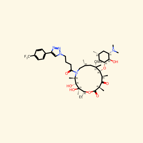 CC[C@H]1OC(=O)[C@H](C)C(=O)[C@H](C)[C@@H](O[C@@H]2C[C@H](C)C[C@H](N(C)C)[C@H]2O)[C@@](C)(OC)C[C@@H](C)CN(C(=O)CCCn2cc(-c3ccc(C(F)(F)F)cc3)nn2)[C@H](C)[C@@H](O)[C@]1(C)O